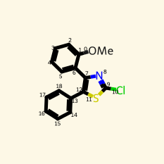 COc1ccccc1-c1nc(Cl)sc1-c1ccccc1